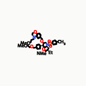 CC[C@@H](C[C@H]1C[C@H](c2ccc(COCCOC)cc2)[C@@H](OCc2ccc3c(c2)N(CCCOC)CCO3)CN1S(=O)(=O)c1ccc(C)cc1)C(=O)NC